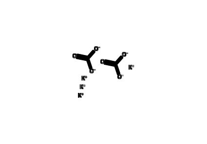 O=C([O-])[O-].O=C([O-])[O-].[K+].[K+].[K+].[K+]